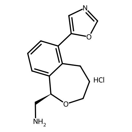 Cl.NC[C@@H]1OCCCc2c(-c3cnco3)cccc21